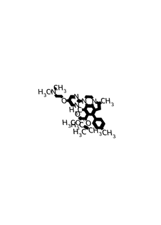 COC(=O)[C@@H](OC(C)(C)C)c1c(C)c2c3c(cc(C)n3CCN2c2ncc(OCCN(C)C)cn2)c1-c1ccc(C)cc1